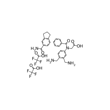 NC(=O)c1ccc2c(c1)CCC2.NCc1ccc(N(CC(=O)O)C(=O)c2ccccc2)cc1CN.O=C(O)C(F)(F)F.O=C(O)C(F)(F)F